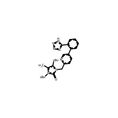 CCCCc1c(C)n(CCCC)c(=O)n1Cc1ccc(-c2ccccc2-c2nnn[nH]2)cn1